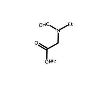 CCN(C=O)CC(=O)OC